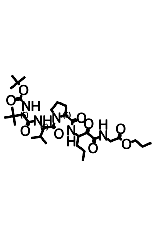 CCCOC(=O)CNC(=O)C(=O)C(CCC)NC(=O)[C@@H]1CCCN1C(=O)[C@@H](NC(=O)[C@@H](NC(=O)OC(C)(C)C)C(C)(C)C)C(C)C